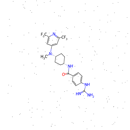 CN(c1cc(C(F)(F)F)nc(C(F)(F)F)c1)[C@H]1CC[C@@H](NC(=O)c2ccc(NC(=N)N)cc2)CC1